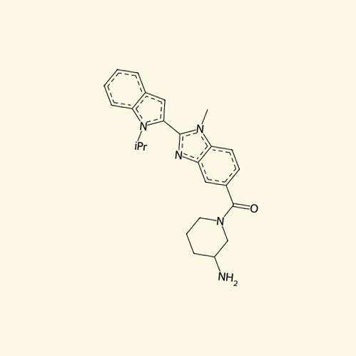 CC(C)n1c(-c2nc3cc(C(=O)N4CCCC(N)C4)ccc3n2C)cc2ccccc21